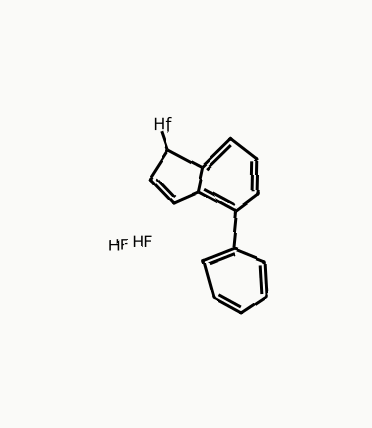 F.F.[Hf][CH]1C=Cc2c(-c3ccccc3)cccc21